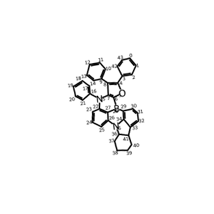 c1ccc(-c2oc3c(c2-c2ccccc2)N(c2ccccc2)c2cccc4c2B3c2cccc3c2N4C2CCCCC32)cc1